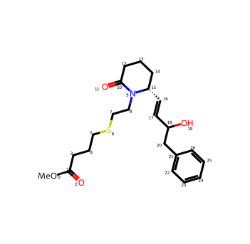 COC(=O)CCCSCCN1C(=O)CCC[C@@H]1/C=C/C(O)Cc1ccccc1